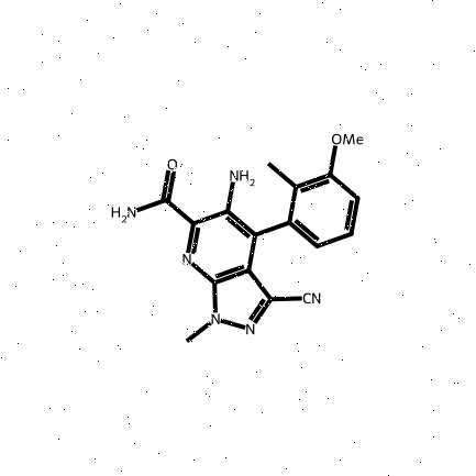 COc1cccc(-c2c(N)c(C(N)=O)nc3c2c(C#N)nn3C)c1C